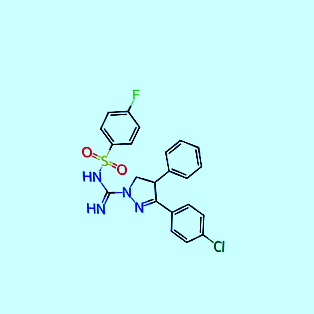 N=C(NS(=O)(=O)c1ccc(F)cc1)N1CC(c2ccccc2)C(c2ccc(Cl)cc2)=N1